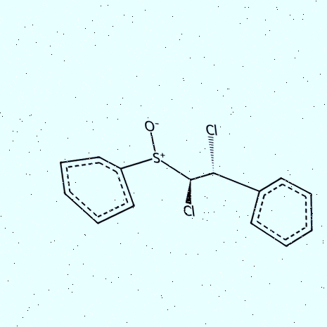 [O-][S+](c1ccccc1)[C@H](Cl)[C@H](Cl)c1ccccc1